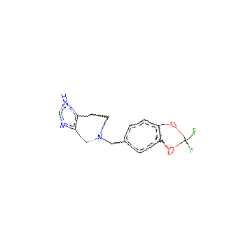 FC1(F)Oc2ccc(CN3CCc4[nH]cnc4C3)cc2O1